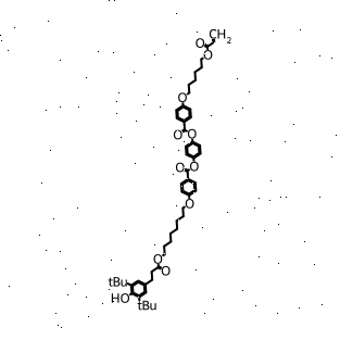 C=CC(=O)OCCCCCCOc1ccc(C(=O)Oc2ccc(OC(=O)c3ccc(OCCCCCCCCOC(=O)CCc4cc(C(C)(C)C)c(O)c(C(C)(C)C)c4)cc3)cc2)cc1